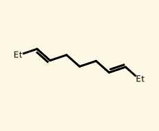 CCC=CCCCC=CCC